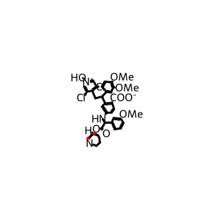 COc1cccc(C(Nc2ccc(C(=O)[O-])c(C(Cc3c(Cl)c[n+](O)cc3Cl)c3ccc(OC)c(OC)c3)c2)C(=O)O[C@H]2CN3CCC2CC3)c1